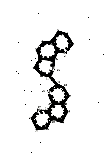 c1cnc2c(c1)ccc1ccc(-c3ccc4ccc5cccnc5c4n3)nc12